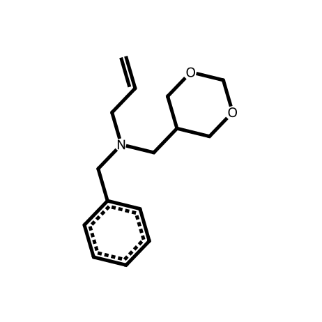 C=CCN(Cc1ccccc1)CC1COCOC1